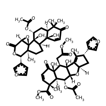 CC(=O)O[C@@H]1C[C@H]2C(C)(C)C(=O)C=C[C@]2(C)[C@H]2CC[C@@]3(C)[C@H](c4ccoc4)OC(=O)[C@H]4O[C@]43[C@@]21C.COC(=O)C[C@H]1[C@]2(C)C3=C(C)[C@H](c4ccoc4)C[C@H]3O[C@@H]2[C@H](OC(C)=O)[C@@H]2[C@]1(C)C(=O)C=C[C@@]2(C)C(=O)OC